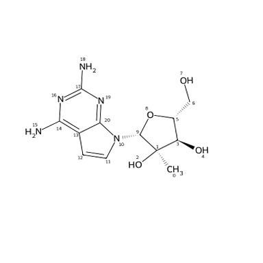 C[C@@]1(O)[C@H](O)[C@@H](CO)O[C@H]1n1ccc2c(N)nc(N)nc21